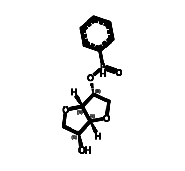 O=[PH](O[C@@H]1CO[C@H]2[C@@H]1OC[C@@H]2O)c1ccccc1